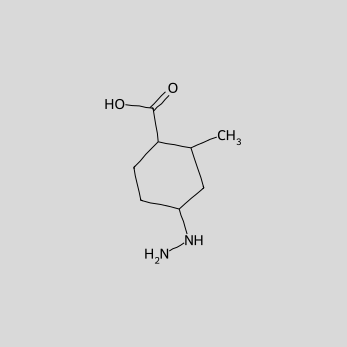 CC1CC(NN)CCC1C(=O)O